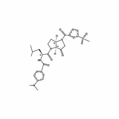 CC(C)C[C@H](NC(=O)c1ccc(N(C)C)cc1)C(=O)N1CC[C@@H]2[C@H]1C(=O)CN2C(=O)c1ccc(S(C)(=O)=O)s1